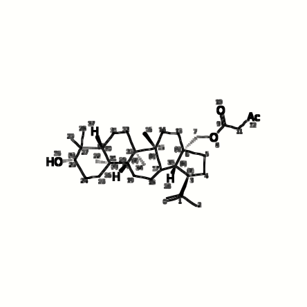 C=C(C)[C@@H]1CC[C@]2(COC(=O)CC(C)=O)CC[C@]3(C)C(CC[C@@H]4[C@@]5(C)CC[C@H](O)C(C)(C)[C@@H]5CC[C@]43C)[C@@H]12